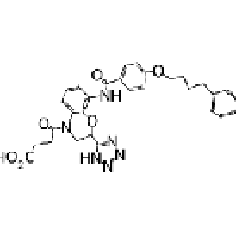 O=C(O)CCC(=O)N1CC(c2nnn[nH]2)Oc2c(NC(=O)c3ccc(OCCCCc4ccccc4)cc3)cccc21